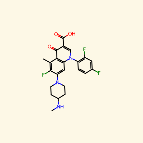 CNC1CCN(c2cc3c(c(C)c2F)c(=O)c(C(=O)O)cn3-c2ccc(F)cc2F)CC1